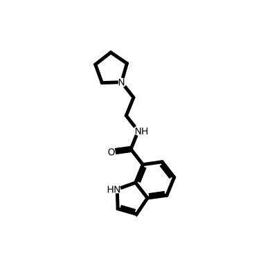 O=C(NCCN1CCCC1)c1cccc2[c]c[nH]c12